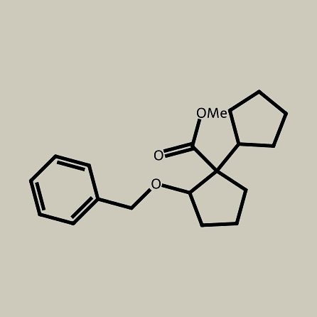 COC(=O)C1(C2CCCC2)CCCC1OCc1ccccc1